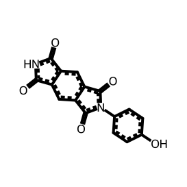 O=c1[nH]c(=O)c2cc3c(=O)n(-c4ccc(O)cc4)c(=O)c3cc12